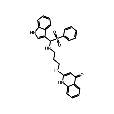 O=c1cc(NCCCNC(c2c[nH]c3ccccc23)S(=O)(=O)c2ccccc2)[nH]c2ccccc12